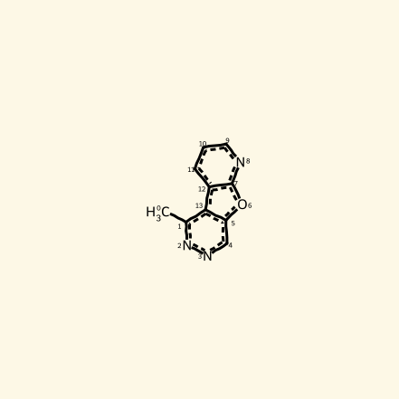 Cc1nncc2oc3ncccc3c12